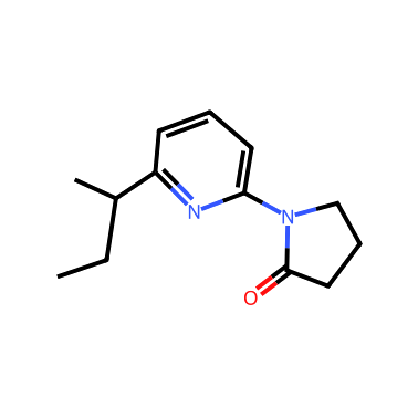 CCC(C)c1cccc(N2CCCC2=O)n1